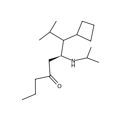 CCCC(=O)C[C@H](NC(C)C)C(C(C)C)C1CCC1